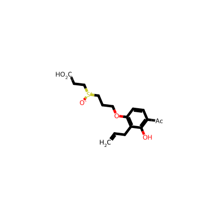 C=CCc1c(OCCC[S+]([O-])CCC(=O)O)ccc(C(C)=O)c1O